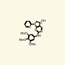 COc1cc(Nc2ncc3c(n2)N(c2ccccn2)C[C@@H]3O)cc(OC)c1OC